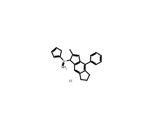 CC1=Cc2c(cc3c(c2-c2ccccc2)CCC3)[CH]1[Zr+](=[SiH2])[C]1=CC=CC1.[Cl-]